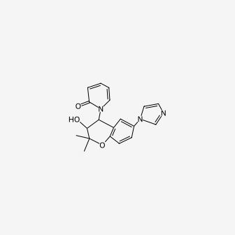 CC1(C)Oc2ccc(-n3ccnc3)cc2C(n2ccccc2=O)C1O